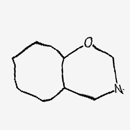 C1CCC2OC[N]CC2C1